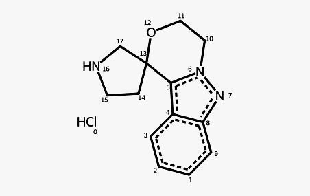 Cl.c1ccc2c3n(nc2c1)CCOC31CCNC1